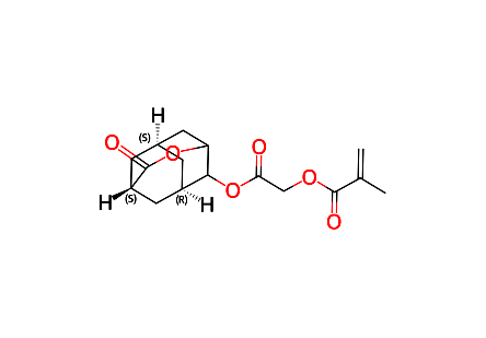 C=C(C)C(=O)OCC(=O)OC1C2C[C@@H]3C[C@@H](C[C@H]1C3)C(=O)O2